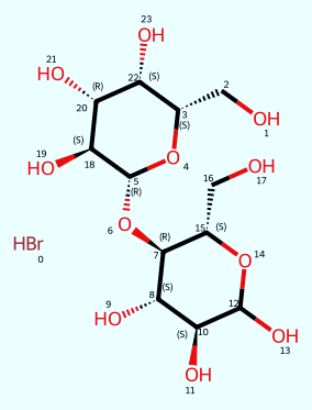 Br.OC[C@@H]1O[C@H](O[C@@H]2[C@@H](O)[C@H](O)C(O)O[C@H]2CO)[C@@H](O)[C@H](O)[C@@H]1O